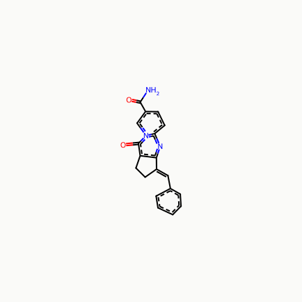 NC(=O)c1ccc2nc3c(c(=O)n2c1)CCC3=Cc1ccccc1